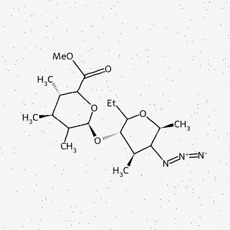 CCC1O[C@@H](C)C(N=[N+]=[N-])[C@@H](C)[C@@H]1O[C@@H]1OC(C(=O)OC)[C@@H](C)[C@H](C)C1C